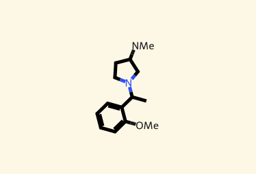 CNC1CCN(C(C)c2ccccc2OC)C1